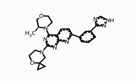 C[C@H]1COCCN1c1nc(N2CCOC3(CC3)C2)nc2nc(-c3cccc(-c4nc[nH]n4)c3)ccc12